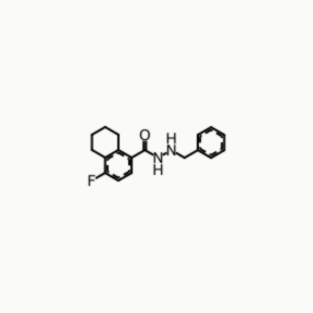 O=C(NNCc1ccccc1)c1ccc(F)c2c1CCCC2